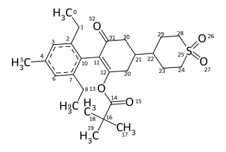 CCc1cc(C)cc(CC)c1C1=C(OC(=O)C(C)(C)C)CC(C2CCS(=O)(=O)CC2)CC1=O